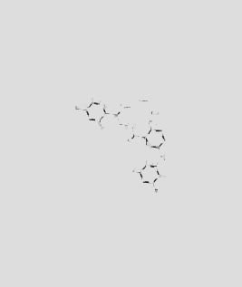 CCON=C(CNC(=O)c1nc(Nc2cc(F)cc(F)c2)ccc1OC)c1ncc(Cl)cc1Cl